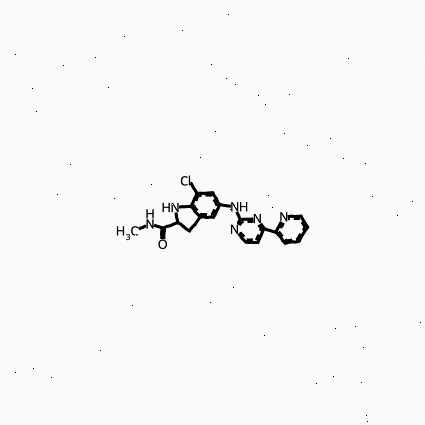 CNC(=O)C1Cc2cc(Nc3nccc(-c4ccccn4)n3)cc(Cl)c2N1